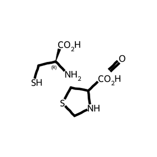 C=O.N[C@@H](CS)C(=O)O.O=C(O)C1CSCN1